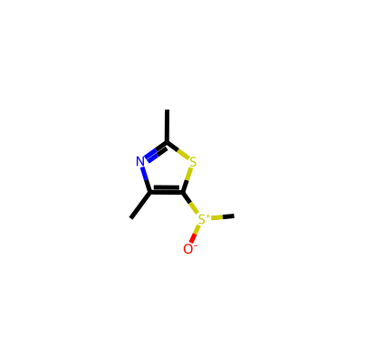 Cc1nc(C)c([S+](C)[O-])s1